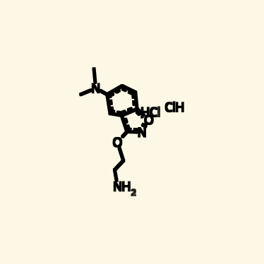 CN(C)c1ccc2onc(OCCN)c2c1.Cl.Cl